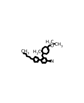 CCCCCCc1ccc(-c2ccc(C#N)cc2CC2CC/C=C(/COC(C)C)CCC2C)cc1